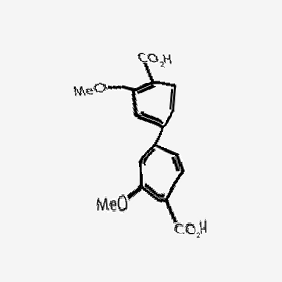 COc1cc(-c2ccc(C(=O)O)c(OC)c2)ccc1C(=O)O